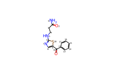 NC(=O)CCNc1ncc(C(=O)c2ccccc2)s1